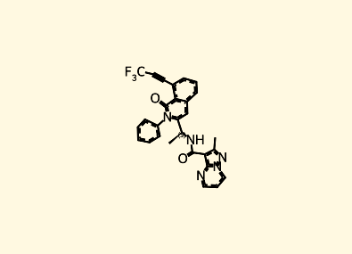 Cc1nn2cccnc2c1C(=O)N[C@@H](C)c1cc2cccc(C#CC(F)(F)F)c2c(=O)n1-c1ccccc1